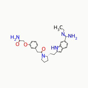 CCN=C(N)c1ccc2cc(CC[C@@H]3CCCN3C(=O)Cc3cccc(OCC(N)=O)c3)[nH]c2c1